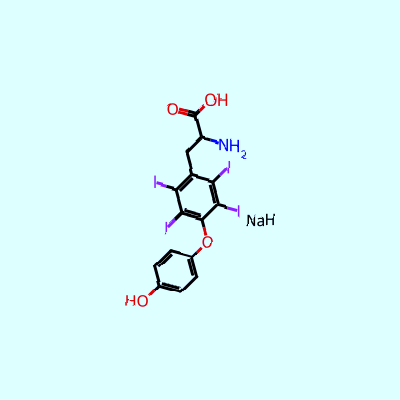 NC(Cc1c(I)c(I)c(Oc2ccc(O)cc2)c(I)c1I)C(=O)O.[NaH]